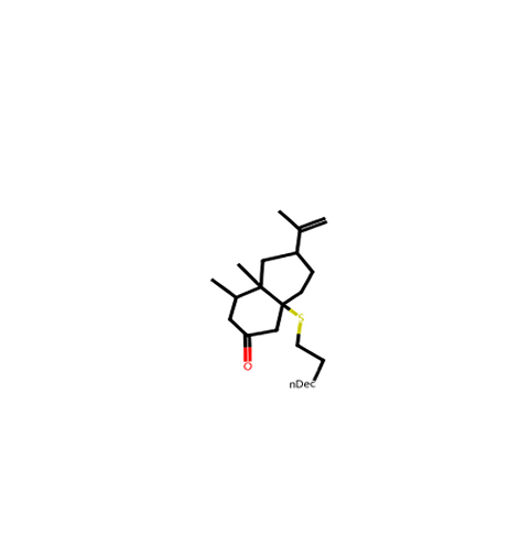 C=C(C)C1CCC2(SCCCCCCCCCCCC)CC(=O)CC(C)C2(C)C1